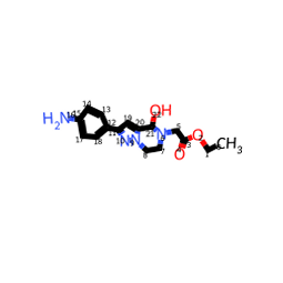 CCOC(=O)CN1CCn2nc(-c3ccc(N)cc3)cc2C1O